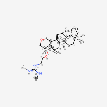 CC(=O)O[C@@H]1C[C@@]23COC[C@@](C)(C2CC[C@H]2C3=CC[C@@]3(C)[C@H](C(=O)O)[C@@](C)([C@H](C)C(C)C)CC[C@]23C)[C@H]1OCCN/C(=N\C#N)NC(C)(C)C